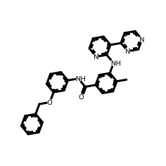 Cc1ccc(C(=O)Nc2cccc(OCc3ccccc3)c2)cc1Nc1ncccc1-c1ccncn1